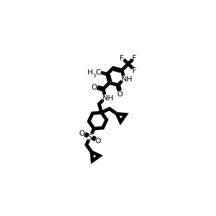 Cc1cc(C(F)(F)F)[nH]c(=O)c1C(=O)NCC1(CC2CC2)CCC(S(=O)(=O)CC2CC2)CC1